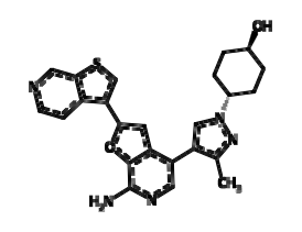 Cc1nn([C@H]2CC[C@H](O)CC2)cc1-c1cnc(N)c2oc(-c3csc4cnccc34)cc12